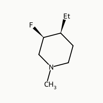 CC[C@H]1CCN(C)C[C@H]1F